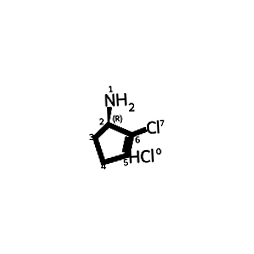 Cl.N[C@@H]1CCC=C1Cl